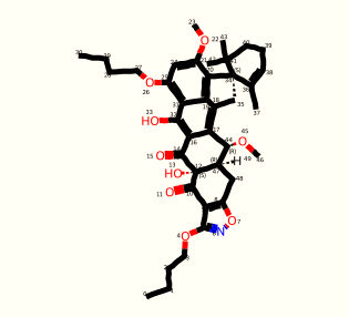 CCCCOc1noc2c1C(=O)[C@@]1(O)C(=O)c3c(c4c5c(c(OC)cc(OCCCC)c5c3O)[C@]3(C4)C(C)=CCCC3(C)C)[C@H](OC)[C@H]1C2